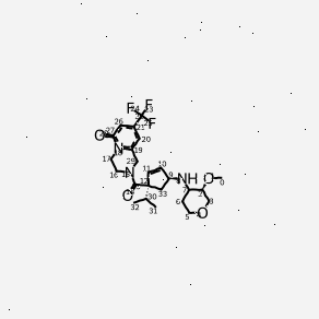 CO[C@H]1COCCC1N[C@@H]1C=C[C@@](C(=O)N2CCn3c(cc(C(F)(F)F)cc3=O)C2)(C(C)C)C1